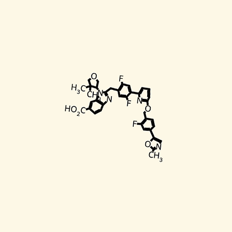 Cc1ncc(-c2ccc(COc3cccc(-c4cc(F)c(Cc5nc6ccc(C(=O)O)cc6n5C5COCC5(C)C)cc4F)n3)c(F)c2)o1